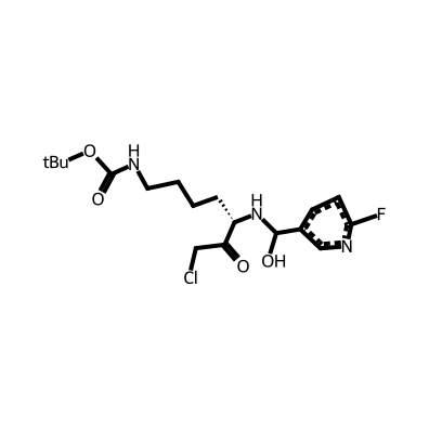 CC(C)(C)OC(=O)NCCCC[C@H](NC(O)c1ccc(F)nc1)C(=O)CCl